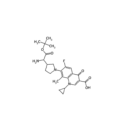 Cc1c(N2CCC(C(N)C(=O)OC(C)(C)C)C2)c(F)cc2c(=O)c(C(=O)O)cn(C3CC3)c12